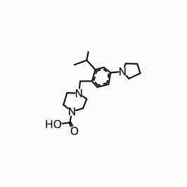 CC(C)c1cc(N2CCCC2)ccc1CN1CCN(C(=O)O)CC1